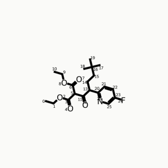 CCOC(=O)C(C(=O)OCC)C(=O)C(CCC(C)(C)C)c1ccc(F)cn1